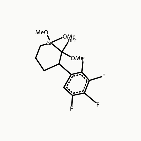 CCCC1(OC)C(c2cc(F)c(F)c(F)c2F)CCC[Si]1(OC)OC